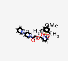 COc1cc(C)c(S(=O)(=O)N2CCCC2COCC(=O)N2CCC(N3CCCCC3)CC2)c(C)c1